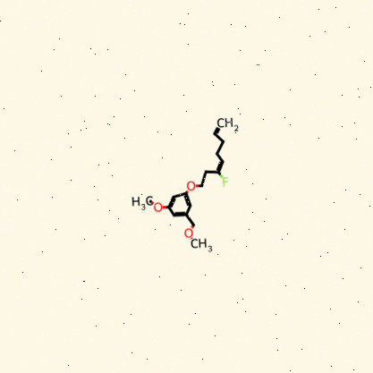 C=CCC/C=C(/F)CCOc1cc(COC)cc(OC)c1